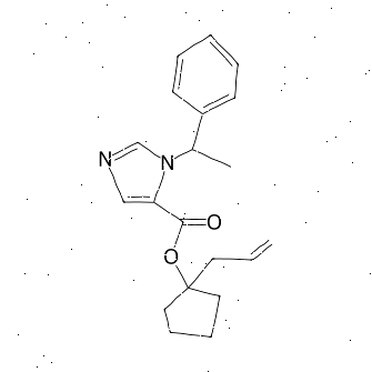 C=CCC1(OC(=O)c2cncn2C(C)c2ccccc2)CCCC1